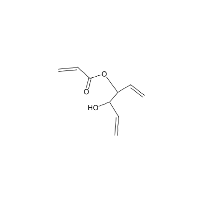 C=CC(=O)OC(C=C)C(O)C=C